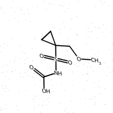 COCC1(S(=O)(=O)NC(=O)O)CC1